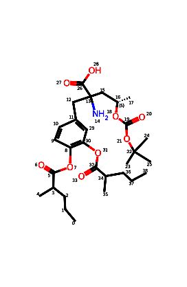 CCCC(C)C(=O)Oc1ccc(CC(N)(C[C@H](C)OC(=O)OC(C)(C)C)C(=O)O)cc1OC(=O)C(C)CCC